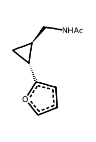 CC(=O)NC[C@@H]1C[C@H]1c1ccco1